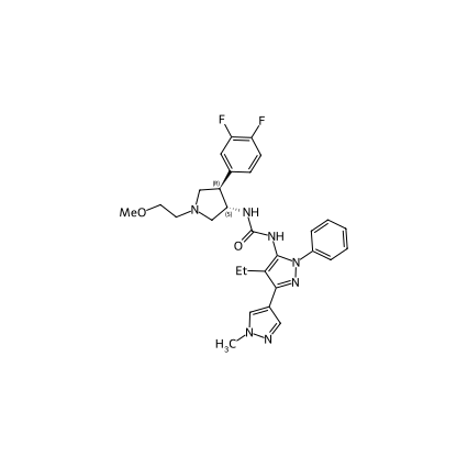 CCc1c(-c2cnn(C)c2)nn(-c2ccccc2)c1NC(=O)N[C@@H]1CN(CCOC)C[C@H]1c1ccc(F)c(F)c1